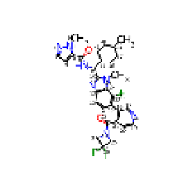 Cn1nccc1C(=O)N[C@H](c1nc2ccc(-c3cnccc3C(=O)N3CC(F)(F)C3)c(F)c2n1C)[C@H]1CC[C@H](C)CC1